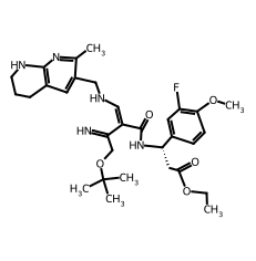 CCOC(=O)C[C@H](NC(=O)/C(=C/NCc1cc2c(nc1C)NCCC2)C(=N)COC(C)(C)C)c1ccc(OC)c(F)c1